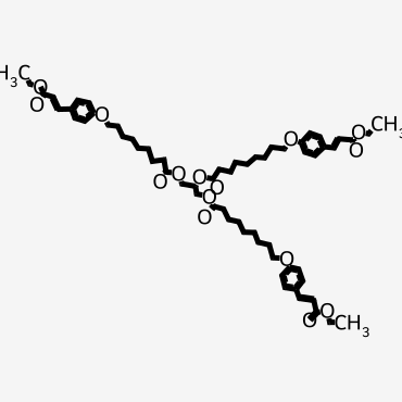 CCOC(=O)/C=C/c1ccc(OCCCCCCCCC(=O)OCC(COC(=O)CCCCCCCCOc2ccc(/C=C/C(=O)OCC)cc2)OC(=O)CCCCCCCCOc2ccc(/C=C/C(=O)OCC)cc2)cc1